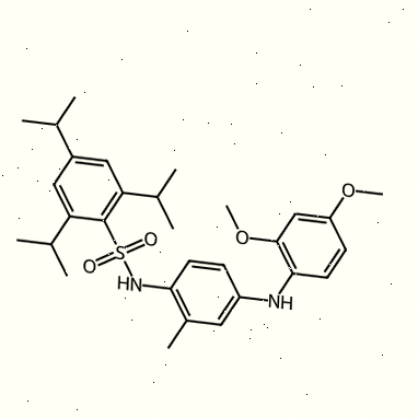 COc1ccc(Nc2ccc(NS(=O)(=O)c3c(C(C)C)cc(C(C)C)cc3C(C)C)c(C)c2)c(OC)c1